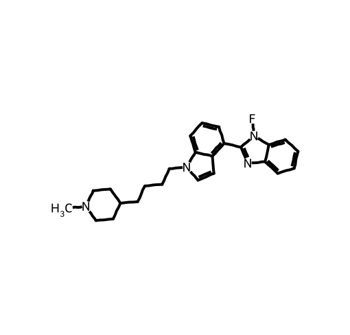 CN1CCC(CCCCn2ccc3c(-c4nc5ccccc5n4F)cccc32)CC1